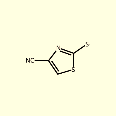 N#Cc1csc([S])n1